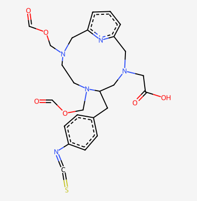 O=COCN1CCN(COC=O)C(Cc2ccc(N=C=S)cc2)CN(CC(=O)O)Cc2cccc(n2)C1